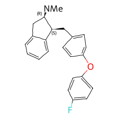 CN[C@@H]1Cc2ccccc2[C@@H]1Cc1ccc(Oc2ccc(F)cc2)cc1